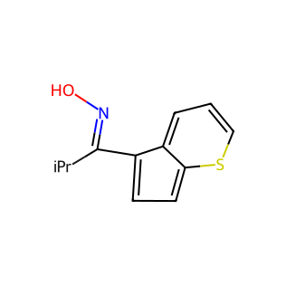 CC(C)C(=NO)c1ccc2scccc1-2